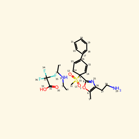 CCNCC.Cc1oc(C2(S(C)(=O)=O)C=CC(c3ccccc3)=CC2)nc1CCN.O=C(O)C(F)(F)F